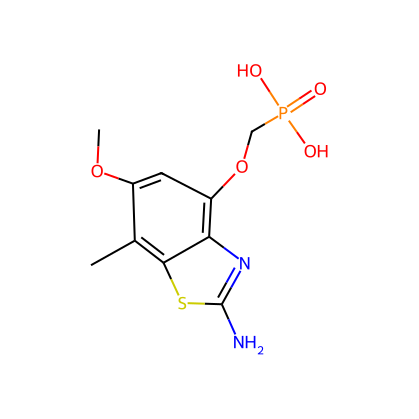 COc1cc(OCP(=O)(O)O)c2nc(N)sc2c1C